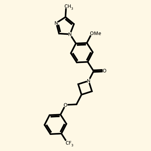 COc1cc(C(=O)N2CC(COc3cccc(C(F)(F)F)c3)C2)ccc1-n1cnc(C)c1